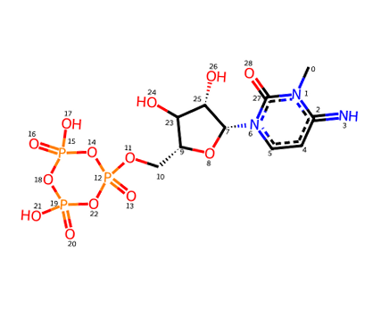 Cn1c(=N)ccn([C@@H]2O[C@H](COP3(=O)OP(=O)(O)OP(=O)(O)O3)C(O)[C@@H]2O)c1=O